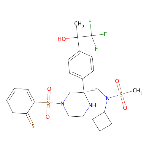 CC(O)(c1ccc([C@]2(CN(C3CCC3)S(C)(=O)=O)CN(S(=O)(=O)C3=CC=CCC3=S)CCN2)cc1)C(F)(F)F